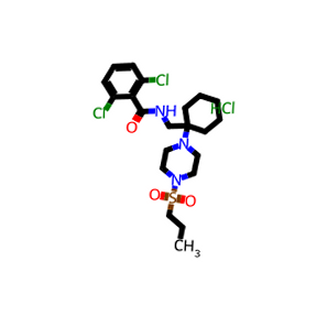 CCCS(=O)(=O)N1CCN(C2(CNC(=O)c3c(Cl)cccc3Cl)CCCCC2)CC1.Cl